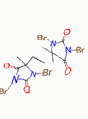 CC1(C)C(=O)N(Br)C(=O)N1Br.CCC1(C)C(=O)N(Br)C(=O)N1Br